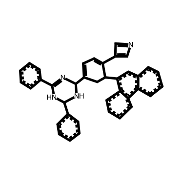 C1=NC=C1C1=CC=C(C2N=C(c3ccccc3)NC(c3ccccc3)N2)CC1c1cc2ccccc2c2ccccc12